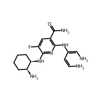 N/C=C\C(=C/N)Nc1nc(N[C@@H]2CCCC[C@@H]2N)c(F)cc1C(N)=O